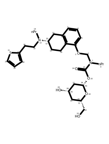 CCCN(COc1cccc2c1CC[C@H](N(CCC)CCc1cccs1)C2)C(=O)O[C@H]1C[C@@H](O)C[C@@H](CO)O1